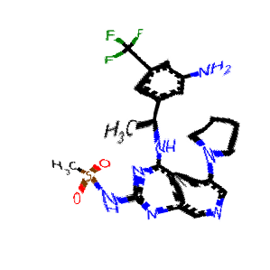 CC(Nc1nc(NS(C)(=O)=O)nc2cncc(N3CCCC3)c12)c1cc(N)cc(C(F)(F)F)c1